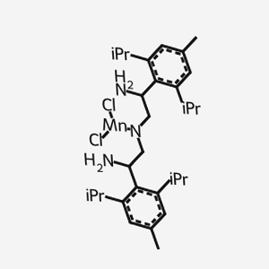 Cc1cc(C(C)C)c(C(N)C[N](CC(N)c2c(C(C)C)cc(C)cc2C(C)C)[Mn]([Cl])[Cl])c(C(C)C)c1